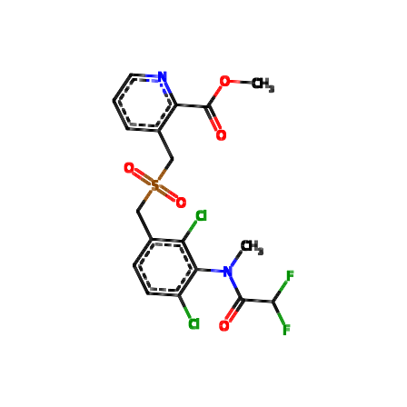 COC(=O)c1ncccc1CS(=O)(=O)Cc1ccc(Cl)c(N(C)C(=O)C(F)F)c1Cl